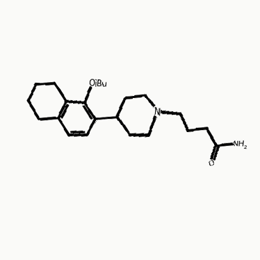 CC(C)COc1c(C2CCN(CCCC(N)=O)CC2)ccc2c1CCCC2